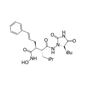 CC[C@H](C)[C@H]1C(=O)NC(=O)N1NC(=O)[C@H](CC(C)C)[C@H](C/C=C/c1ccccc1)C(=O)NO